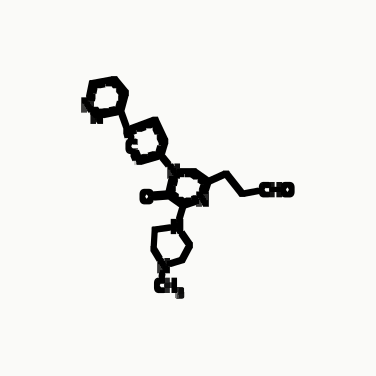 CN1CCN(c2nc(CCC=O)cn(-c3ccc(-c4cccnn4)cc3)c2=O)CC1